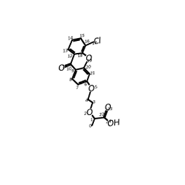 CC(OCCOc1ccc2c(=O)c3cccc(Cl)c3oc2c1)C(=O)O